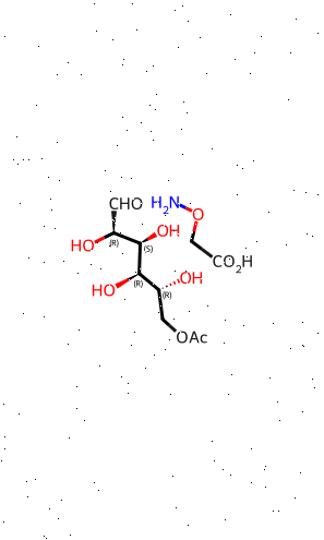 CC(=O)OC[C@@H](O)[C@@H](O)[C@H](O)[C@@H](O)C=O.NOCC(=O)O